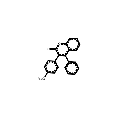 COc1ccc(-c2c(-c3ccccc3)c3ccccc3oc2=O)cc1